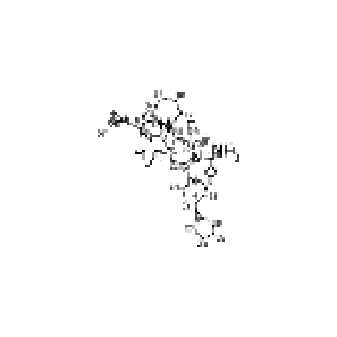 CC1(c2noc([C@@H]3C[C@@H]3F)n2)C[C@@H](N2CCC(N3CCCC3)CC2)N(C(N)=O)C(F)(F)C1C1CCCCC1